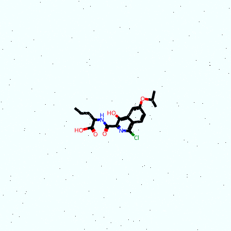 CCCC(NC(=O)c1nc(Cl)c2ccc(OC(C)C)cc2c1O)C(=O)O